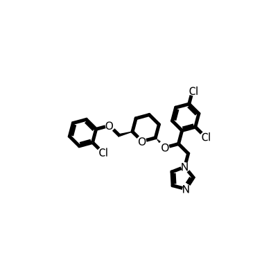 Clc1ccc(C(Cn2ccnc2)O[C@H]2CCC[C@H](COc3ccccc3Cl)O2)c(Cl)c1